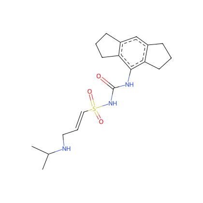 CC(C)NC/C=C/S(=O)(=O)NC(=O)Nc1c2c(cc3c1CCC3)CCC2